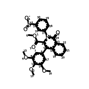 COC(=O)c1c(-c2cc(OC)c(OC)c(OC)c2)c2ccccc2c(=O)n1-c1cccc([N+](=O)[O-])c1